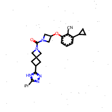 CC(C)c1nnc(C2CC3(C2)CN(C(=O)N2CC(Oc4cccc(C5CC5)c4C#N)C2)C3)[nH]1